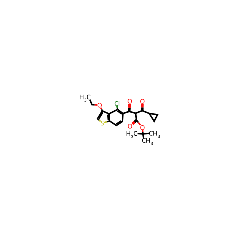 CCOc1csc2ccc(C(=O)C(C(=O)OC(C)(C)C)C(=O)C3CC3)c(Cl)c12